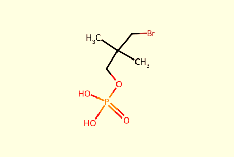 CC(C)(CBr)COP(=O)(O)O